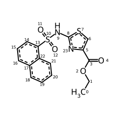 CCOC(=O)c1csc(NS(=O)(=O)c2cccc3ccccc23)n1